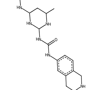 CNC1CC(C)NC(NC(=O)Nc2ccc3c(c2)CCNC3)N1